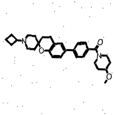 COC1CCN(C(=O)c2ccc(-c3ccc4c(c3)CCC3(CCN(C5CCC5)CC3)O4)cc2)CC1